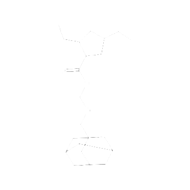 CCC1CC(CC)C(C(=O)OCOCC23CC4CC(CC(C4)C2)C3)C1